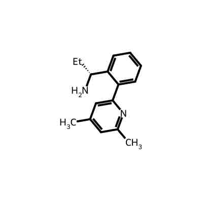 CC[C@@H](N)c1ccccc1-c1cc(C)cc(C)n1